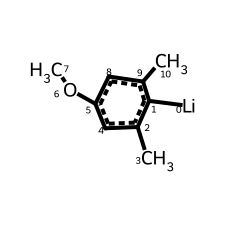 [Li][c]1c(C)cc(OC)cc1C